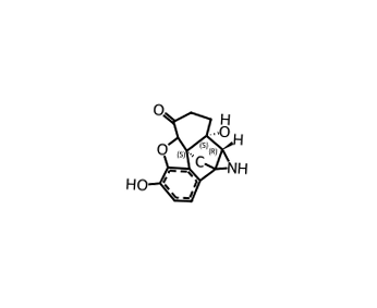 O=C1CC[C@@]2(O)[C@@H]3NC34C[C@@]23c2c4ccc(O)c2OC13